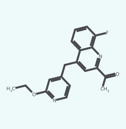 CCOc1cc(Cc2cc(C(C)=O)nc3c(F)cccc23)ccn1